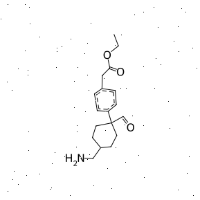 CCOC(=O)Cc1ccc(C2(C=O)CCC(CN)CC2)cc1